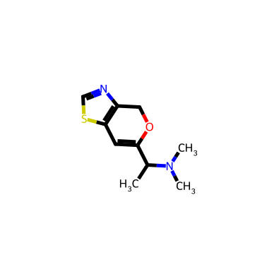 CC(C1=Cc2scnc2CO1)N(C)C